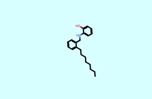 CCCCCCCCc1ccccc1CNc1ccccc1O